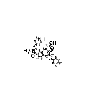 CN(CCC1CCNCC1)C(=O)c1ccc2c(c1)CC(CC(=O)O)C(=O)N(CCc1ccc(F)cc1)C2